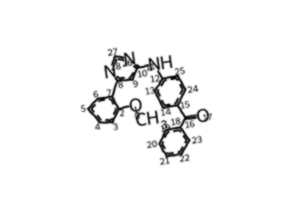 COc1ccccc1-c1cc(Nc2ccc(C(=O)c3ccccc3)cc2)ncn1